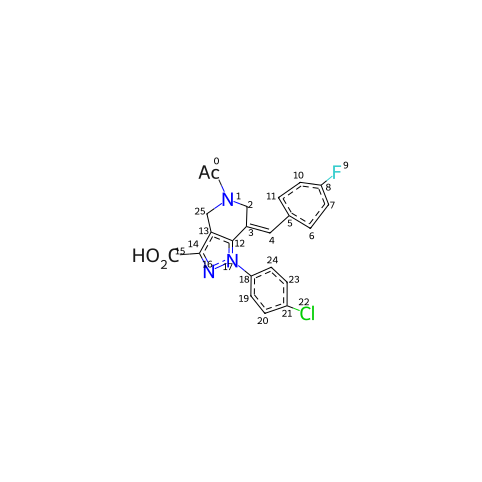 CC(=O)N1CC(=Cc2ccc(F)cc2)c2c(c(C(=O)O)nn2-c2ccc(Cl)cc2)C1